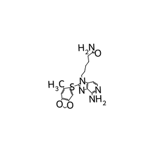 Cc1cc2c(cc1Sc1nc3c(N)nccc3n1CCCCCC(N)=O)OCO2